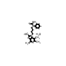 CCCCc1nc2c(N)nc(C)c(C)c2n1CCCCN(C(N)=S)c1ccccc1.O